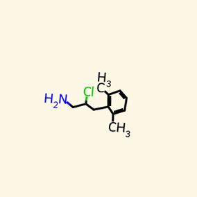 Cc1cccc(C)c1CC(Cl)CN